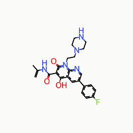 C=C(C)NC(=O)c1c(O)c2cc(-c3ccc(F)cc3)cnc2n(CCN2CCNCC2)c1=O